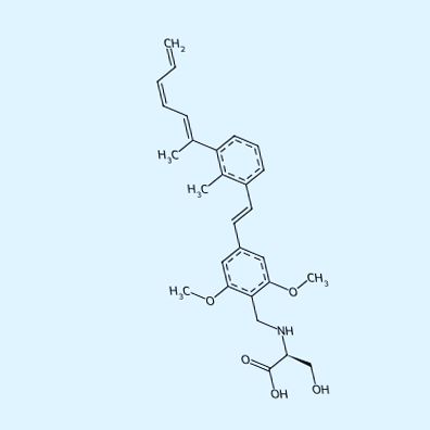 C=C/C=C\C=C(/C)c1cccc(/C=C/c2cc(OC)c(CN[C@@H](CO)C(=O)O)c(OC)c2)c1C